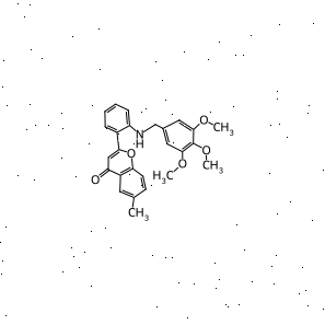 COc1cc(CNc2ccccc2-c2cc(=O)c3cc(C)ccc3o2)cc(OC)c1OC